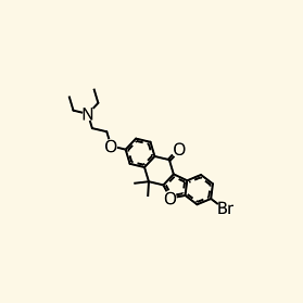 CCN(CC)CCOc1ccc2c(c1)C(C)(C)c1oc3cc(Br)ccc3c1C2=O